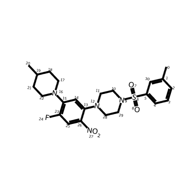 Cc1cccc(S(=O)(=O)N2CCN(c3cc(N4CCC(C)CC4)c(F)cc3[N+](=O)[O-])CC2)c1